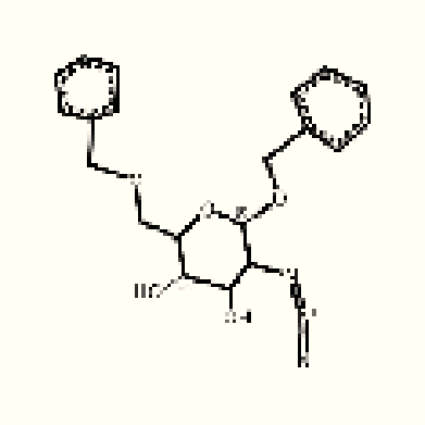 [N-]=[N+]=NC1C(O)[C@H](O)C(COCc2ccccc2)O[C@H]1OCc1ccccc1